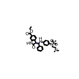 CCOC(=O)c1ccc2c(c1)NC(=O)/C2=C(/Nc1ccc(N(CCN(C)C)S(C)(=O)=O)cc1)c1ccccc1